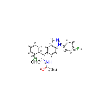 CC(C)(C)C(=O)N[C@H](C=O)[C@H](c1ccc2c(cnn2-c2ccc(F)cc2)c1)c1ccccc1Cl